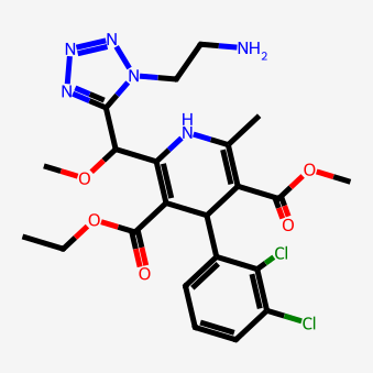 CCOC(=O)C1=C(C(OC)c2nnnn2CCN)NC(C)=C(C(=O)OC)C1c1cccc(Cl)c1Cl